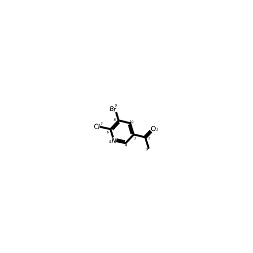 CC(=O)c1cnc(Cl)c(Br)c1